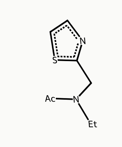 CCN(Cc1nccs1)C(C)=O